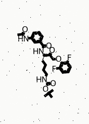 CC(=O)Nc1cccc(C(=O)N[C@@H](CCCCNC(=O)OC(C)(C)C)C(=O)COc2c(F)cccc2F)c1